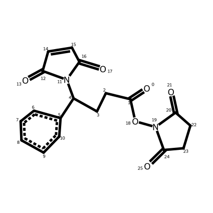 O=C(CCC(c1ccccc1)N1C(=O)C=CC1=O)ON1C(=O)CCC1=O